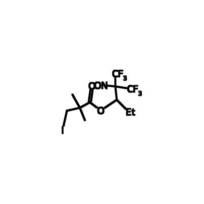 CCC(OC(=O)C(C)(C)CI)C(N=O)(C(F)(F)F)C(F)(F)F